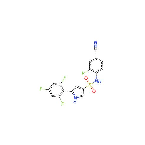 N#Cc1ccc(NS(=O)(=O)c2c[nH]c(-c3c(F)cc(F)cc3F)c2)c(F)c1